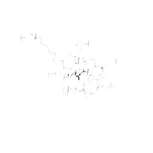 C[C@@H]1OC[C@H](O)C(O[C@H](C)C(CO)OC(OC2C(CO)OC(OCCCCCN)C(O)C2O)[C@@H](O)CO)OC1CO